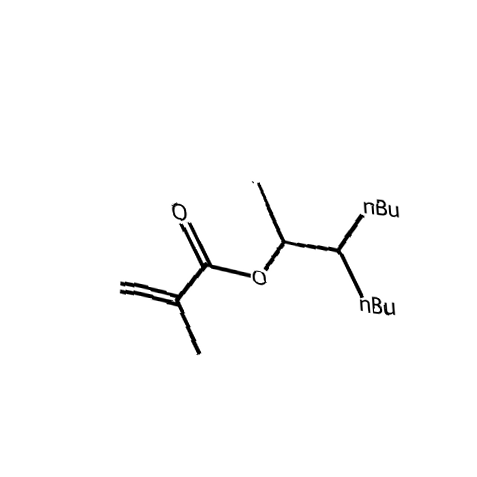 [CH2]C(OC(=O)C(=C)C)C(CCCC)CCCC